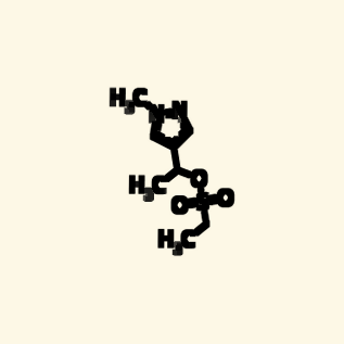 CCS(=O)(=O)OC(C)c1cnn(C)c1